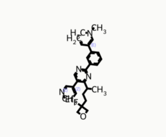 C=C/C(=C\N(C)C)c1cccc(-c2ncc(C(/C=N\C)=C/CC)c(C(C)CCC3(F)COC3)n2)c1